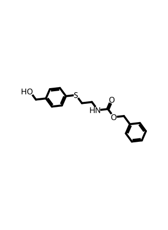 O=C(NCCSc1ccc(CO)cc1)OCc1ccccc1